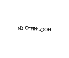 Oc1ccc(CCNCC#Cc2ccc(-c3ccncc3)cc2)cc1